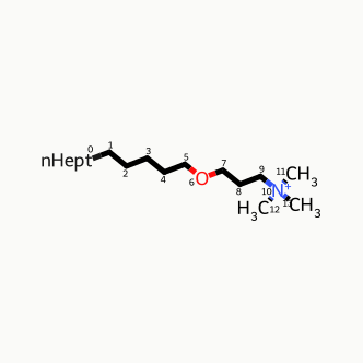 CCCCCCCCCCCCOCCC[N+](C)(C)C